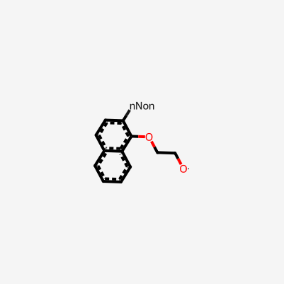 CCCCCCCCCc1ccc2ccccc2c1OCC[O]